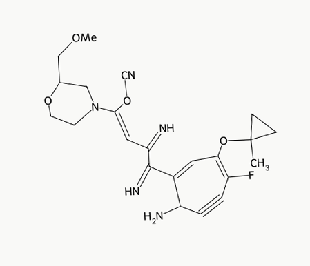 COCC1CN(/C(=C/C(=N)C(=N)C2=CC(OC3(C)CC3)=C(F)C#CC2N)OC#N)CCO1